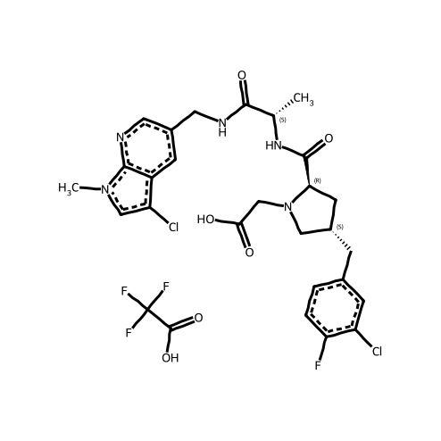 C[C@H](NC(=O)[C@H]1C[C@H](Cc2ccc(F)c(Cl)c2)CN1CC(=O)O)C(=O)NCc1cnc2c(c1)c(Cl)cn2C.O=C(O)C(F)(F)F